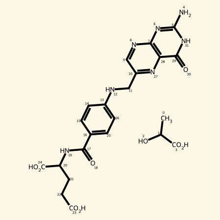 CC(O)C(=O)O.Nc1nc2ncc(CNc3ccc(C(=O)NC(CCC(=O)O)C(=O)O)cc3)nc2c(=O)[nH]1